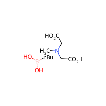 CCCCB(O)O.CN(CC(=O)O)CC(=O)O